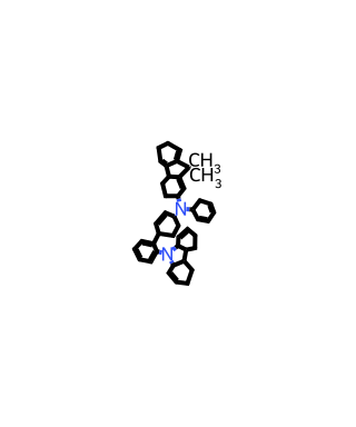 CC1(C)C2=CCCC=C2C2CCC(N(C3C=CC=CC3)C3C=CC(c4ccccc4N4C5C=CCCC5C5CCC=CC54)CC3)C=C21